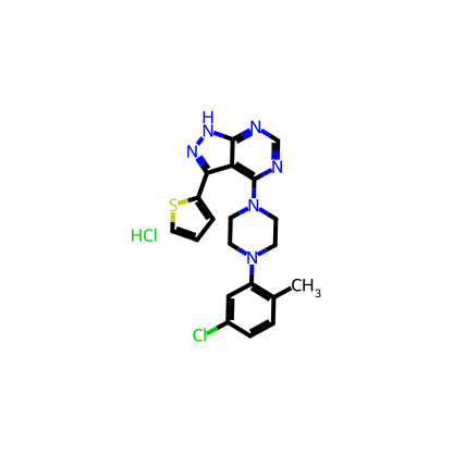 Cc1ccc(Cl)cc1N1CCN(c2ncnc3[nH]nc(-c4cccs4)c23)CC1.Cl